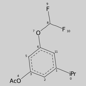 [CH2]C(C)c1cc(OC(C)=O)cc(OC(F)F)c1